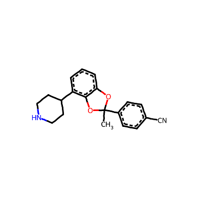 CC1(c2ccc(C#N)cc2)Oc2cccc(C3CCNCC3)c2O1